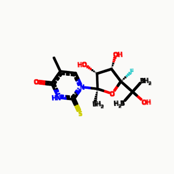 BC(B)(O)[C@@]1(F)O[C@@](B)(n2cc(C)c(=O)[nH]c2=S)[C@H](O)[C@@H]1O